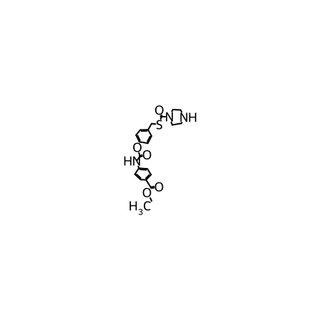 CCOC(=O)c1ccc(NC(=O)Oc2ccc(CSC(=O)N3CCNCC3)cc2)cc1